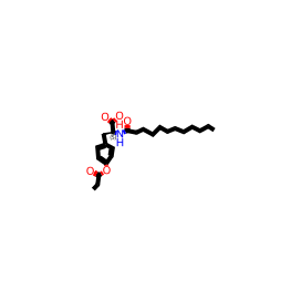 CCCCCCCCCCCC(=O)N[C@@H](Cc1ccc(OC(=O)CC)cc1)C(=O)O